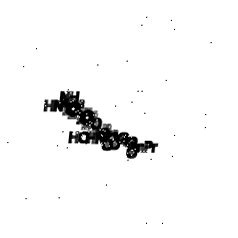 CCCC(=O)OCOC(=O)C[C@@H]1C[C@@H](COc2ccc(-c3ccc(C(=N)N)cc3)cc2)NC1=O.Cl